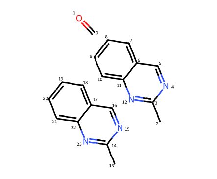 C=O.Cc1ncc2ccccc2n1.Cc1ncc2ccccc2n1